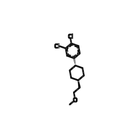 COCC[C@H]1CC[C@H](c2ccc(Cl)c(Cl)c2)CC1